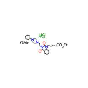 CCOC(=O)CCCCn1c(=O)n(CCN2CCN(c3ccccc3OC)CC2)c(=O)c2ccccc21.Cl.Cl